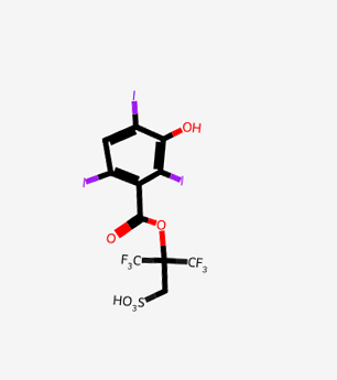 O=C(OC(CS(=O)(=O)O)(C(F)(F)F)C(F)(F)F)c1c(I)cc(I)c(O)c1I